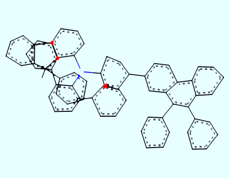 CC1(c2ccccc2)c2ccccc2-c2cccc(N(c3ccc(-c4ccc5c(c4)c(-c4ccccc4)c(-c4ccccc4)c4ccccc45)cc3)c3c(-c4ccccc4)cccc3-c3ccccc3)c21